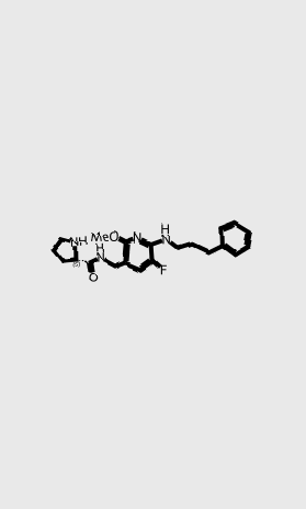 COc1nc(NCCCc2ccccc2)c(F)cc1CNC(=O)[C@@H]1CCCN1